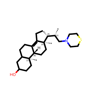 C[C@H](CN1CCSCC1)[C@H]1CCC2=C3CCC4CC(O)CC[C@]4(C)[C@H]3CC[C@@]21C